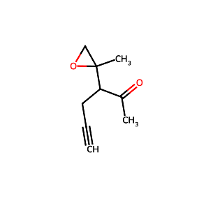 C#CCC(C(C)=O)C1(C)CO1